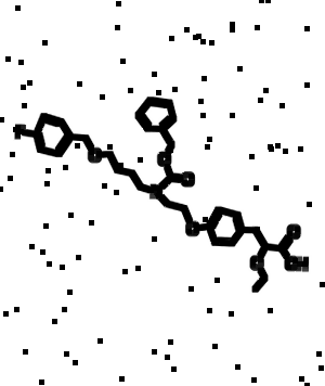 CCOC(Cc1ccc(OCCN(CCCCOCc2ccc(F)cc2)C(=O)OCc2ccccc2)cc1)C(=O)O